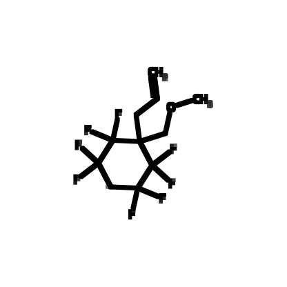 C=CCC1(COC)C(F)(F)C(F)(F)[CH]C(F)(F)C1(F)F